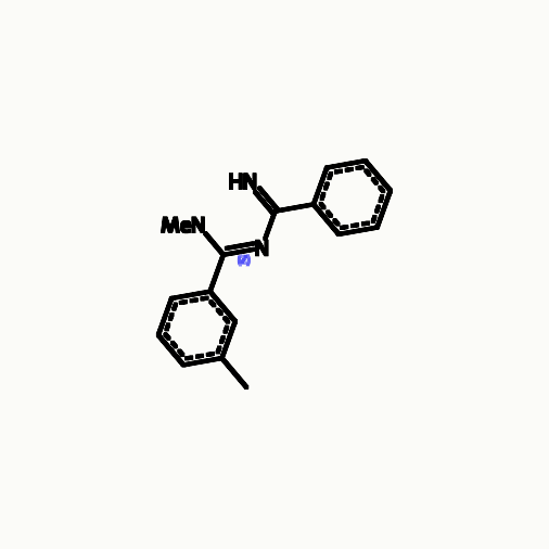 CN/C(=N\C(=N)c1ccccc1)c1cccc(C)c1